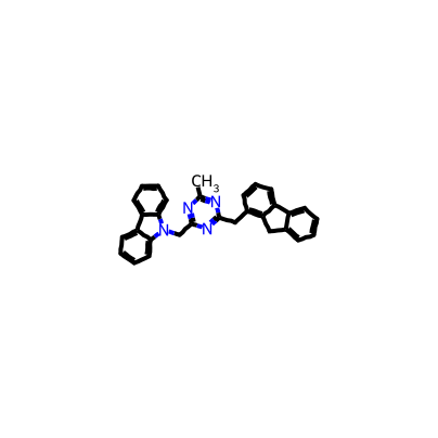 Cc1nc(Cc2cccc3c2Cc2ccccc2-3)nc(Cn2c3ccccc3c3ccccc32)n1